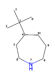 CC(C)(C)C1C[CH]NCCC1